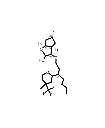 CCCC[C@H](CCO[C@H]1C(O)O[C@H]2C[C@H](C)C[C@H]21)C1CC(C)(C(F)(F)F)CCO1